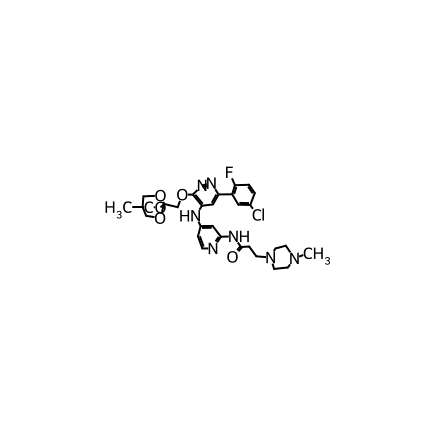 CN1CCN(CCC(=O)Nc2cc(Nc3cc(-c4cc(Cl)ccc4F)nnc3OCC34OCC(C)(CO3)CO4)ccn2)CC1